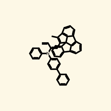 C=C/C(=C\C1=C(C)c2cccc3c2C12c1ccccc1-c1cccc-3c12)N(c1ccccc1)c1ccc(-c2ccccc2)cc1